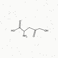 NC(CC(=O)CO)C(=O)O